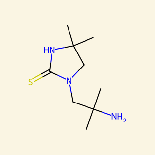 CC(C)(N)CN1CC(C)(C)NC1=S